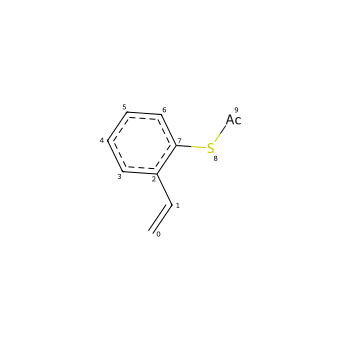 C=Cc1ccccc1SC(C)=O